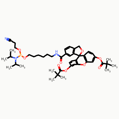 CC(C)N(C(C)C)P(OCCC#N)OCCCCCCNC(=O)c1ccc2c(c1)C1(OC2)c2ccc(OC(=O)C(C)(C)C)cc2Oc2cc(OC(=O)C(C)(C)C)ccc21